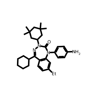 CCc1ccc2c(c1)N(c1ccc(N)cc1)C(=O)N(C1CC(C)(C)CC(C)(C)C1)N=C2C1CCCCC1